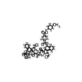 Cc1ccc(COC(=O)N2CCN(C(=O)Oc3cc4c(c5ccccc35)[C@H](CCl)CN4C(=O)C34CC5(C(=O)N6C[C@@H](CCl)c7c6cc(OP(=O)(O)O)c6ccccc76)CC35C4)CC2)cc1